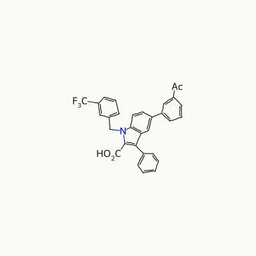 CC(=O)c1cccc(-c2ccc3c(c2)c(-c2ccccc2)c(C(=O)O)n3Cc2cccc(C(F)(F)F)c2)c1